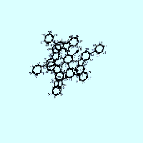 N#Cc1c(-n2c3ccccc3c3cc(-c4ccccc4)ccc32)c(-c2nc(-c3ccccc3)cc(-c3ccccc3)n2)c(-n2c3ccccc3c3cc(-c4ccccc4)ccc32)c(-n2c3ccccc3c3cc(-c4ccccc4)ccc32)c1-n1c2ccccc2c2cc(-c3ccccc3)ccc21